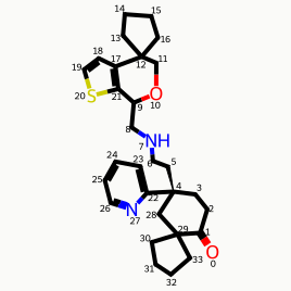 O=C1CC[C@@](CCNCC2OCC3(CCCC3)c3ccsc32)(c2ccccn2)CC12CCCC2